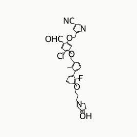 Cc1c(COc2cc(OCc3cncc(C#N)c3)c(C=O)cc2Cl)cccc1-c1cccc(OCCCN2CC[C@@H](O)C2)c1F